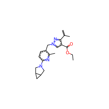 C=C(C)c1nn(Cc2ccc(N3CC4CC4C3)nc2C)cc1C(=O)OCC